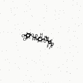 O=C(COc1ccc(Cl)c(Cl)c1)N[C@H]1CC[C@H](c2nnc(C3CC(OC(F)(F)F)C3)o2)NC1